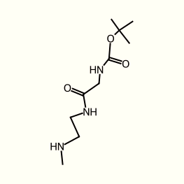 CNCCNC(=O)CNC(=O)OC(C)(C)C